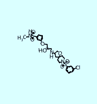 CCNS(=O)(=O)c1cccc(OC[C@@H](O)CNC2COC3(CCN(S(=O)(=O)c4cccc(Cl)c4)CC3)C2)c1